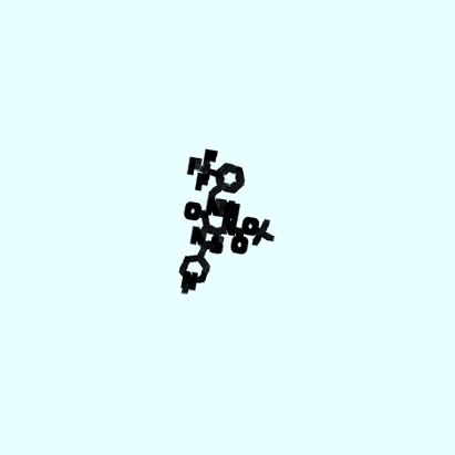 CN1CCC(c2nc(C(=O)NCc3ccccc3C(F)(F)F)c(NC(=O)OC(C)(C)C)s2)CC1